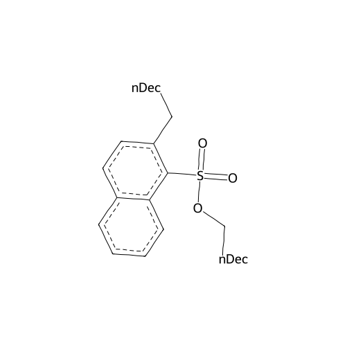 CCCCCCCCCCCOS(=O)(=O)c1c(CCCCCCCCCCC)ccc2ccccc12